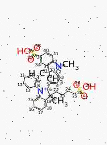 CN1/C(=C/C=C/C2=[N+](c3ccccc3)c3ccccc3C2(C)CCCCS(=O)(=O)O)C(C)(C)c2cc(S(=O)(=O)O)ccc21